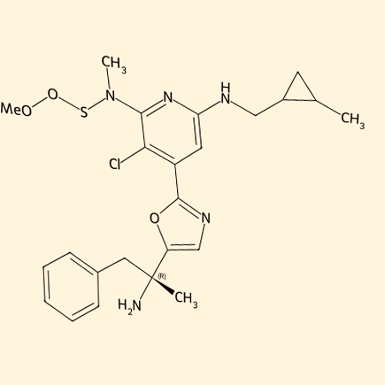 COOSN(C)c1nc(NCC2CC2C)cc(-c2ncc([C@](C)(N)Cc3ccccc3)o2)c1Cl